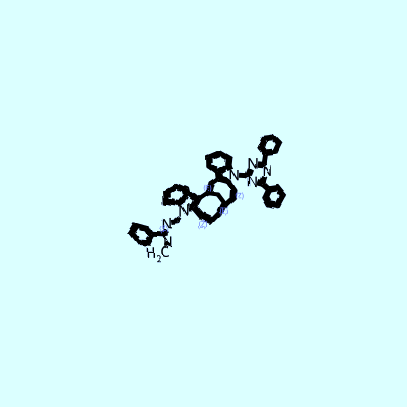 C=N/C(=N\Cn1c2c(c3ccccc31)/C1=C/c3c(n(-c4nc(-c5ccccc5)nc(-c5ccccc5)n4)c4ccccc34)\C=C/C(=C/C=C\2)C1)c1ccccc1